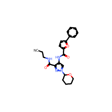 N#CCCNC(=O)c1nn(C2CCCCO2)cc1NC(=O)c1ccc(-c2ccccc2)o1